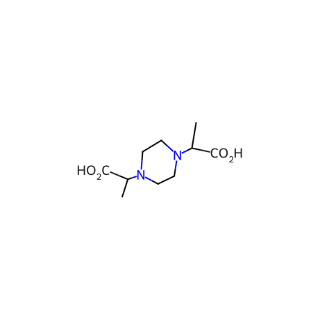 CC(C(=O)O)N1CCN(C(C)C(=O)O)CC1